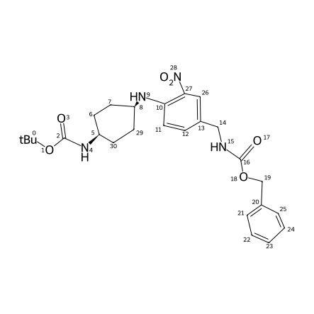 CC(C)(C)OC(=O)N[C@H]1CC[C@@H](Nc2ccc(CNC(=O)OCc3ccccc3)cc2[N+](=O)[O-])CC1